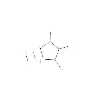 O=[N+]([O-])O.O=[N+]([O-])O.OC1COC(Br)C1O